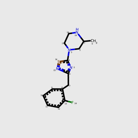 CC1CN(c2nc(Cc3ccccc3F)ns2)CCN1